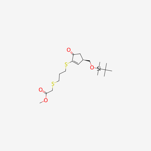 COC(=O)CSCCCSC1=C[C@H](CO[Si](C)(C)C(C)(C)C)CC1=O